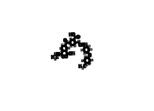 CNC(=O)c1ccc(C(=O)c2ccc(CONc3ccc(Oc4ccc(C)cc4)cc3)c(C(=O)O)c2)cc1C(=O)O